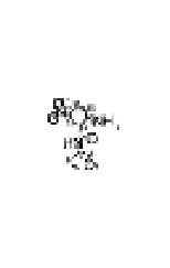 CCC(COC)NC(=O)c1cc([N+](=O)[O-])ccc1N